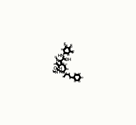 CN=S1(=O)N[C@@H](C(C)CCc2ccccc2)C=Cc2c1cn(C)c2C(O)Nc1cc(F)c(F)c(F)c1